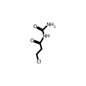 NC(=O)NC(=O)CCCl